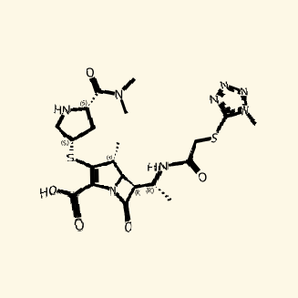 C[C@H]1C(S[C@@H]2CN[C@H](C(=O)N(C)C)C2)=C(C(=O)O)N2C(=O)[C@H]([C@@H](C)NC(=O)CSc3nnnn3C)C12